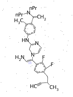 C#CC(C)Cc1ccc(/C(=C/N)N2C=CN=C(Nc3ccc(C(=C)N(CCC)CCC)c(C)c3)C2)c(F)c1F